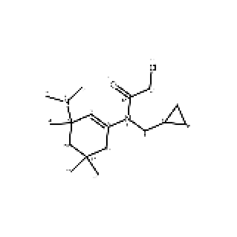 CN(C)C1(C)C=C(N(CC2CC2)C(=O)CCl)CC(C)(C)C1